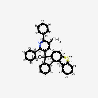 Cc1cc(C2(C)c3ccccc3-c3c2ccc2sc4ccccc4c32)c(-c2ccccc2)nc1-c1ccccc1